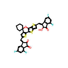 O=C1C(=O)c2c(F)cc(F)cc2/C1=C/c1cc2c(s1)-c1sc3cc(/C=C4/c5cc(F)cc(F)c5C(=O)C4O)sc3c1OC21CCCCC1